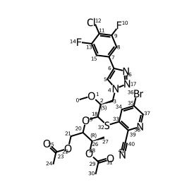 CO[C@@H](Cn1cc(-c2cc(F)c(Cl)c(F)c2)nn1)C(OC(COC(C)=O)[C@@H](C)OC(C)=O)Sc1cc(Br)cnc1C#N